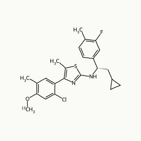 Cc1ccc([C@H](CC2CC2)Nc2nc(-c3cc(C)c(O[13CH3])cc3Cl)c(C)s2)cc1F